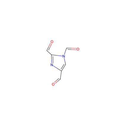 O=Cc1cn(C=O)c(C=O)n1